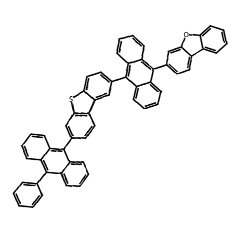 c1ccc(-c2c3ccccc3c(-c3ccc4c(c3)sc3ccc(-c5c6ccccc6c(-c6ccc7c(c6)oc6ccccc67)c6ccccc56)cc34)c3ccccc23)cc1